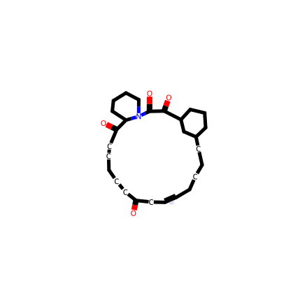 O=C1C/C=C\CCCCC2CCCC(C2)C(=O)C(=O)N2CCCCC2C(=O)CCCCC1